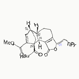 CCC/C=C1\OC(=O)C2=C1CC[C@H]1[C@H]3C=C(C(=O)OC)[C@](C(=O)CCCC)(CC3)[C@@H]21